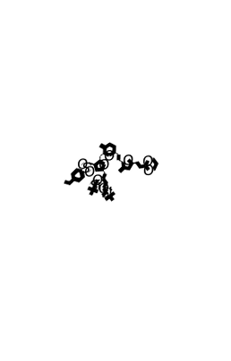 C=C1C[C@H](CCC2OCCCO2)O[C@H]1CC[C@H]1CCC(=C)[C@@H](C[C@@H]2O[C@H](CC(CO[Si](C)(C)C(C)(C)C)O[Si](C)(C)C(C)(C)C)C[C@H]2CS(=O)(=O)c2ccc(CC)cc2)O1